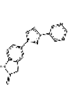 O=C1Cc2cc(-c3csc(-c4cccnc4)n3)ccc2N1